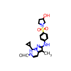 Cc1c(Nc2ccc(S(=O)(=O)N3CCC(O)C3)cc2)nn(CC2CC2)c1/C=C\NC=O